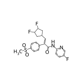 CS(=O)(=O)c1ccc(/C(=C\C2CC(F)C(F)C2)C(=O)Nc2ccc(F)cn2)cc1